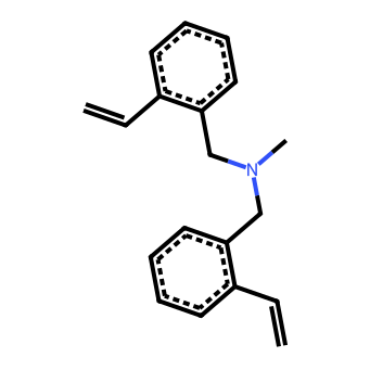 C=Cc1ccccc1CN(C)Cc1ccccc1C=C